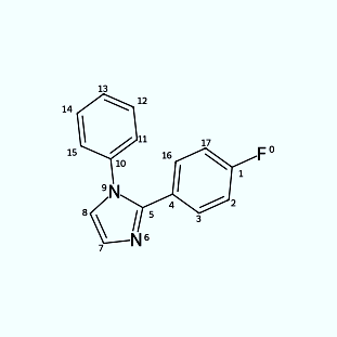 Fc1ccc(-c2nccn2-c2ccccc2)cc1